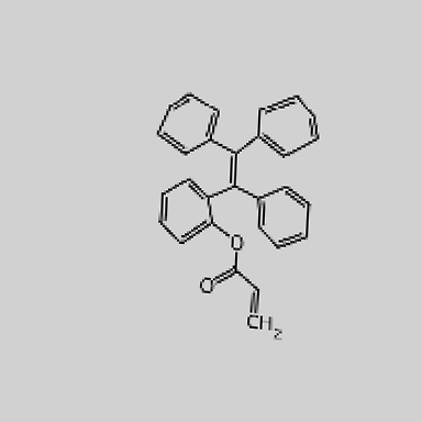 C=CC(=O)Oc1ccccc1C(=C(c1ccccc1)c1ccccc1)c1ccccc1